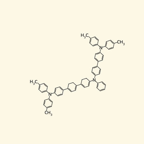 Cc1ccc(N(c2ccc(C)cc2)c2ccc(C3=CC=C(C4=CC=C(N(c5ccccc5)c5ccc(-c6ccc(N(c7ccc(C)cc7)c7ccc(C)cc7)cc6)cc5)CC4)CC3)cc2)cc1